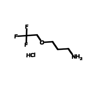 Cl.NCCCOCC(F)(F)F